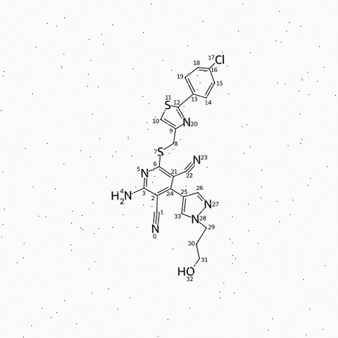 N#Cc1c(N)nc(SCc2csc(-c3ccc(Cl)cc3)n2)c(C#N)c1-c1cnn(CCCO)c1